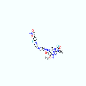 COc1cc(C(=O)NN2CC3(CCN(CC4CCN(c5ccc(C6CCC(=O)NC6=O)cc5F)CC4)CC3)C2)ccc1Nc1ncc2c(n1)N(C1CCCC1)CC(F)(F)C(=O)N2C